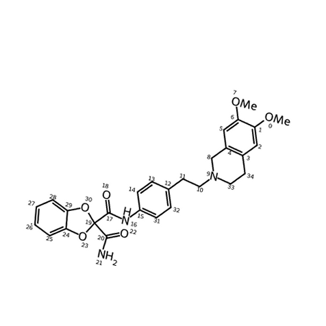 COc1cc2c(cc1OC)CN(CCc1ccc(NC(=O)C3(C(N)=O)Oc4c[c]ccc4O3)cc1)CC2